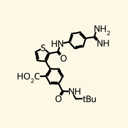 CC(C)(C)CNC(=O)c1ccc(-c2ccsc2C(=O)Nc2ccc(C(=N)N)cc2)c(C(=O)O)c1